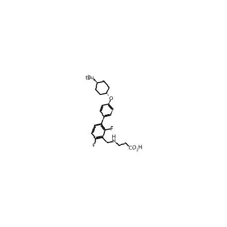 CC(C)(C)[C@H]1CC[C@H](Oc2ccc(-c3ccc(F)c(CNCCC(=O)O)c3F)cc2)CC1